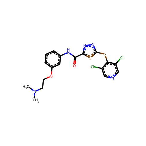 CN(C)CCOc1cccc(NC(=O)c2nnc(Sc3c(Cl)cncc3Cl)s2)c1